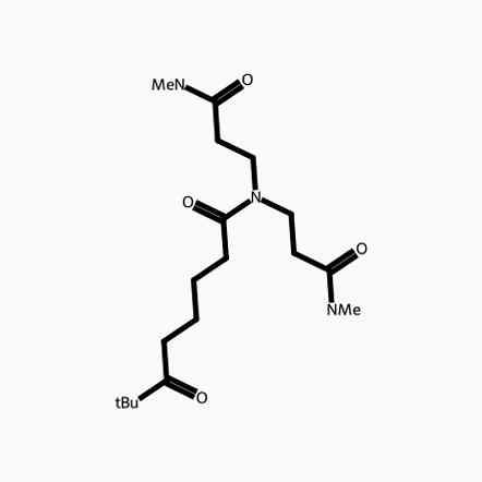 CNC(=O)CCN(CCC(=O)NC)C(=O)CCCCC(=O)C(C)(C)C